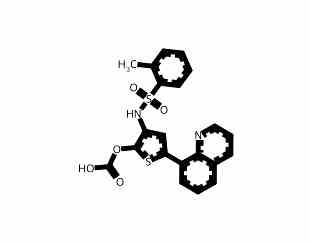 Cc1ccccc1S(=O)(=O)Nc1cc(-c2cccc3cccnc23)sc1OC(=O)O